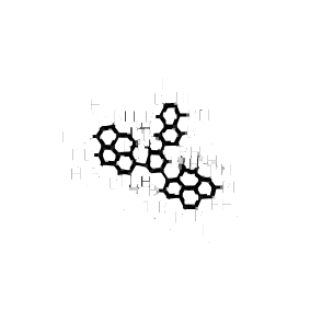 Bc1c(-c2c(B)c(B)c3c(B)c(B)c(B)c(B)c3c2B)c(B)c(-c2c(B)c(B)c3c(B)c(B)c4c(B)c(B)c(B)c5c(B)c(B)c2c3c45)c(B)c1-c1c(B)c(B)c2c(B)c(B)c3c(B)c(B)c(B)c4c(B)c(B)c1c2c34